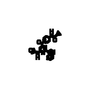 O=C(NC1CCN(C(=O)c2cc(NC3COC3)nc(-c3cnn4ccsc34)n2)CC1)C1CC1